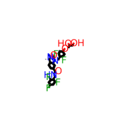 C[C@H]1c2ccc(C(=O)NCc3c(F)cc(F)cc3F)cc2N(Cc2c(F)cc(OCC(O)CO)cc2F)C(=O)N1C